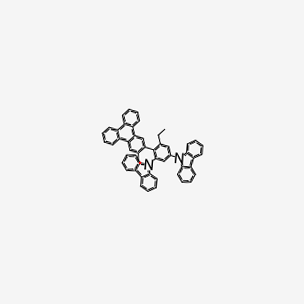 CCc1cc(-n2c3ccccc3c3ccccc32)cc(-n2c3ccccc3c3ccccc32)c1-c1cc2c3ccccc3c3ccccc3c2cc1C